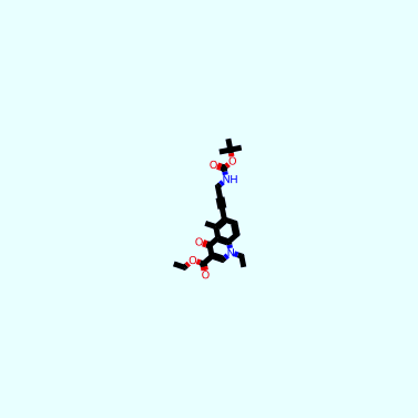 CCOC(=O)c1cn(CC)c2ccc(C#CCNC(=O)OC(C)(C)C)c(C)c2c1=O